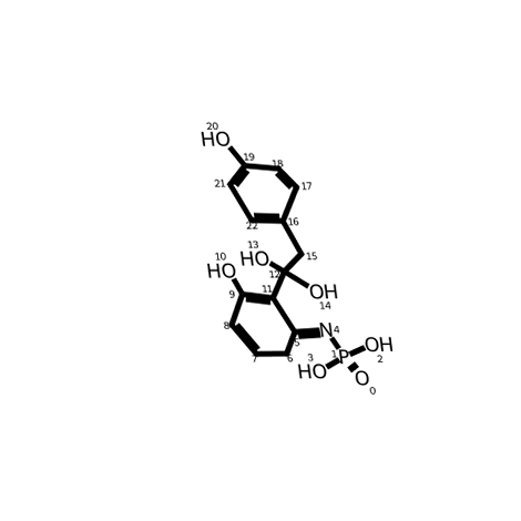 O=P(O)(O)N=C1CC=CC(O)=C1C(O)(O)Cc1ccc(O)cc1